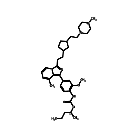 CCC[C@H](C)OC(=O)Nc1ccc(-c2nc(CCC3CCC(CCN4CCN(C)CC4)C3)n3ccnc(C)c23)cc1OC